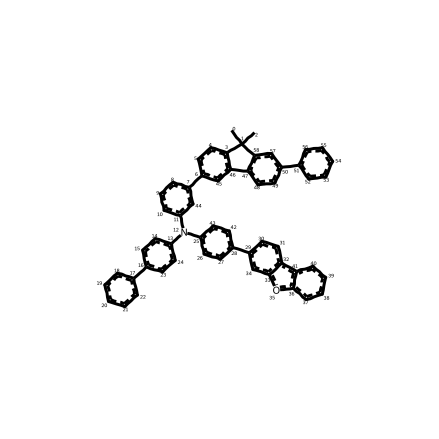 CC1(C)c2ccc(-c3cccc(N(c4ccc(-c5ccccc5)cc4)c4ccc(-c5ccc6c(c5)oc5ccccc56)cc4)c3)cc2-c2ccc(-c3ccccc3)cc21